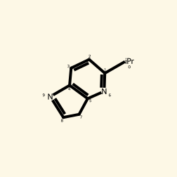 CC(C)c1ccc2c(n1)CC=N2